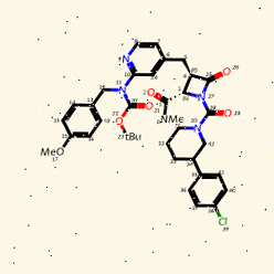 CNC(=O)[C@@H]1[C@@H](Cc2ccnc(N(Cc3ccc(OC)cc3)C(=O)OC(C)(C)C)c2)C(=O)N1C(=O)N1CCCC(c2ccc(Cl)cc2)C1